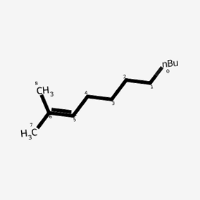 CCCCCCCC[C]=C(C)C